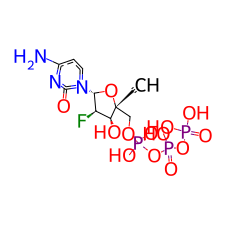 C#C[C@]1(COP(=O)(O)OP(=O)(O)OP(=O)(O)O)O[C@@H](n2ccc(N)nc2=O)[C@H](F)[C@@H]1O